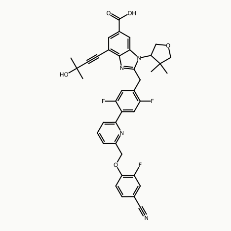 CC(C)(O)C#Cc1cc(C(=O)O)cc2c1nc(Cc1cc(F)c(-c3cccc(COc4ccc(C#N)cc4F)n3)cc1F)n2C1COCC1(C)C